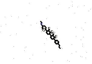 C/C=C/C1CCC(c2ccc(-c3ccc(-c4ccc(CCC)cc4)c(F)c3F)c(F)c2F)OC1